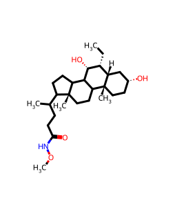 CC[C@H]1[C@@H](O)C2C3CCC(C(C)CCC(=O)NOC)[C@@]3(C)CCC2[C@@]2(C)CC[C@@H](O)C[C@@H]12